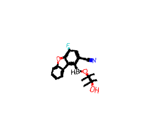 CC(C)(O)C(C)(C)OBc1c(C#N)cc(F)c2oc3ccccc3c12